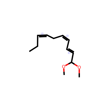 CC/C=C\C/C=C\C=C\C(OC)OC